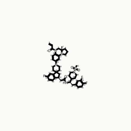 C=CC(=O)N1C[C@]2(C)CCCN2c2cc(N3CCC4(CC3)C[C@@H](CC(=O)N[C@H](Cc3ccc(F)c(F)c3)C3CCN(S(C)(=O)=O)CC3)c3ccc(F)cc34)ccc21